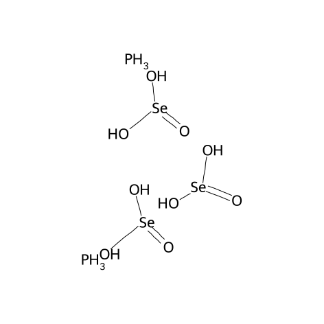 O=[Se](O)O.O=[Se](O)O.O=[Se](O)O.P.P